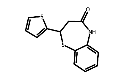 O=C1CC(c2cccs2)Sc2ccccc2N1